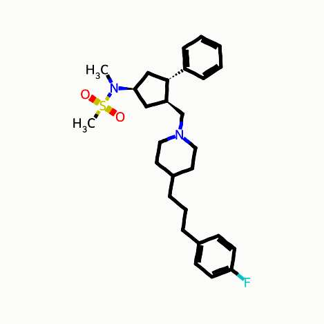 CN([C@@H]1C[C@H](CN2CCC(CCCc3ccc(F)cc3)CC2)[C@@H](c2ccccc2)C1)S(C)(=O)=O